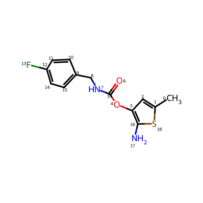 Cc1cc(OC(=O)NCc2ccc(F)cc2)c(N)s1